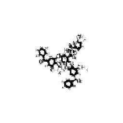 Cc1cccc(S(=O)(=O)NC(=O)c2ccc(Oc3c(C)cc(C(=O)c4ccccc4)cc3C)nc2Oc2c(C)cc(C(=O)c3ccccc3)cc2C)n1